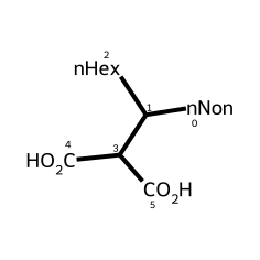 CCCCCCCCCC(CCCCCC)C(C(=O)O)C(=O)O